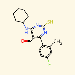 Cc1cc(F)ccc1-c1nc(S)nc(NC2CCCCC2)c1C=O